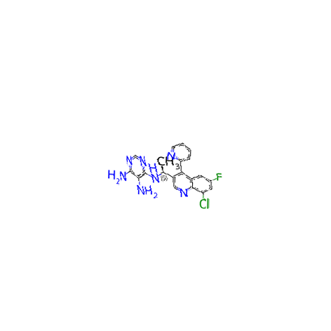 C[C@H](Nc1ncnc(N)c1N)c1cnc2c(Cl)cc(F)cc2c1-c1ccccn1